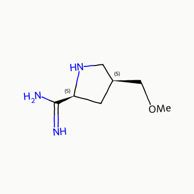 COC[C@@H]1CN[C@H](C(=N)N)C1